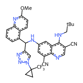 COc1ccc2c(C(Nc3cc(C#N)c4ncc(C#N)c(NCC(C)(C)C)c4c3)c3cn(C4(C(F)(F)F)CC4)nn3)cccc2n1